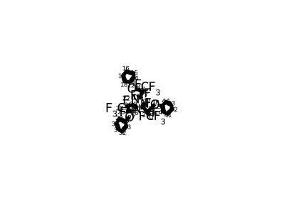 FC(F)(F)C(F)(c1nc(C(F)(C(F)(F)F)C(F)(F)Oc2ccccc2)nc(C(F)(C(F)(F)F)C(F)(F)Oc2ccccc2)n1)C(F)(F)Oc1ccccc1